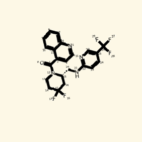 O=C(c1ccnc2ccccc12)N1CCC(F)(F)C[C@H]1CNc1ccc(C(F)(F)F)cn1